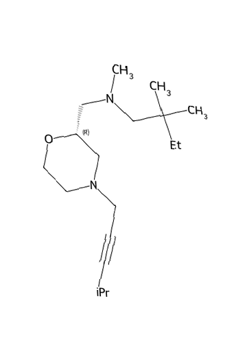 CCC(C)(C)CN(C)C[C@@H]1CN(CC#CC(C)C)CCO1